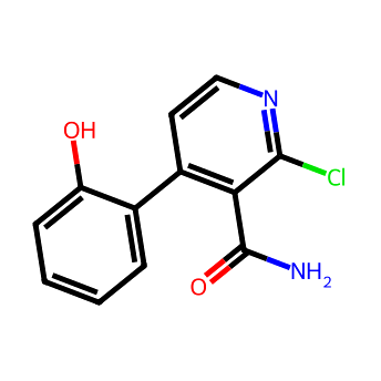 NC(=O)c1c(-c2ccccc2O)ccnc1Cl